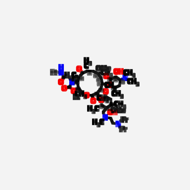 CCNC(=O)CN1C(=O)O[C@]2(C)[C@@H](CC)OC(=O)[C@H](C)[C@@H](O[C@H]3C[C@@](C)(OC)[C@@](O)(CN(C)CCN(C(C)C)C(C)C)[C@H](C)O3)[C@H](C)[C@@H](O[C@@H]3O[C@H](C)C[C@H](N(C)C)[C@H]3O)[C@@](C)(OC)C[C@@H](C)C(=O)[C@H](C)[C@@H]12